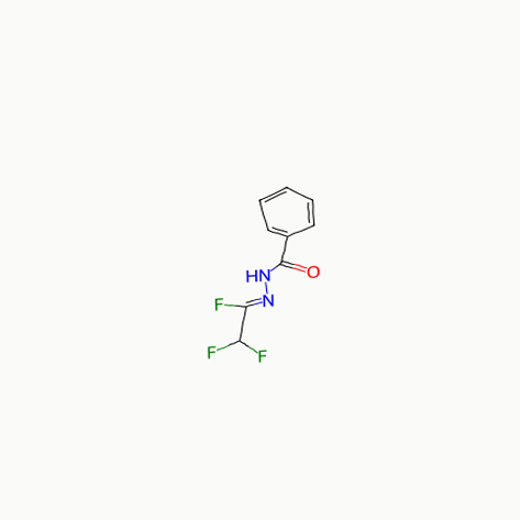 O=C(N/N=C(\F)C(F)F)c1ccccc1